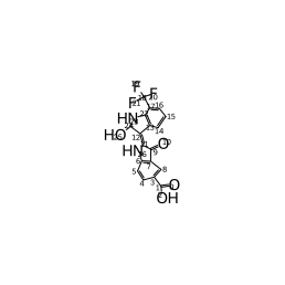 O=C(O)c1ccc2c(c1)C(=O)/C(=C1\c3cccc(C(F)(F)F)c3NC1O)N2